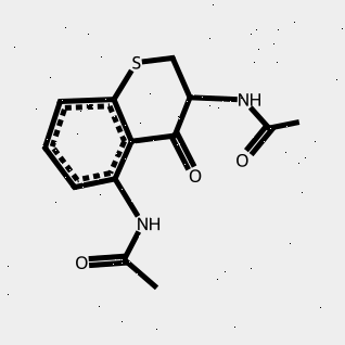 CC(=O)Nc1cccc2c1C(=O)C(NC(C)=O)CS2